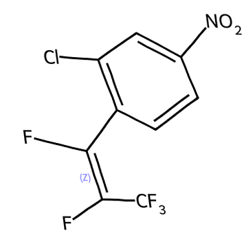 O=[N+]([O-])c1ccc(/C(F)=C(/F)C(F)(F)F)c(Cl)c1